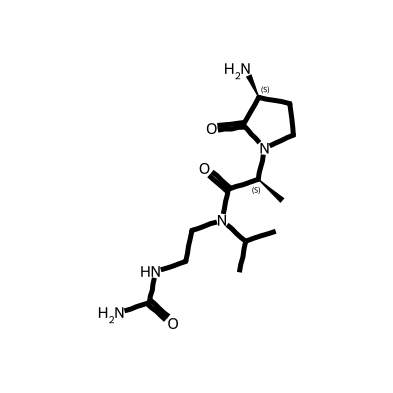 CC(C)N(CCNC(N)=O)C(=O)[C@H](C)N1CC[C@H](N)C1=O